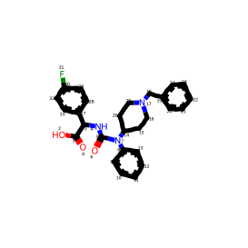 O=C(O)C(NC(=O)N(c1ccccc1)C1CCN(Cc2ccccc2)CC1)c1ccc(F)cc1